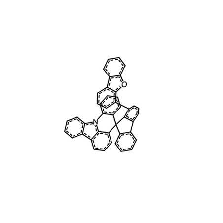 c1ccc2c(c1)-c1cccc(-c3cccc4c3oc3ccccc34)c1C21c2ccccc2-n2c3ccccc3c3cccc1c32